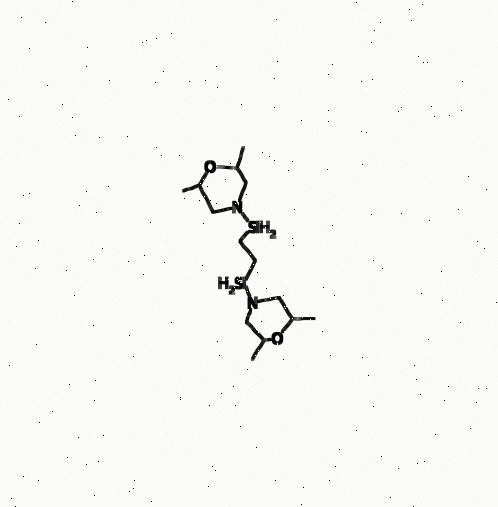 CC1CN([SiH2]CC[SiH2]N2CC(C)OC(C)C2)CC(C)O1